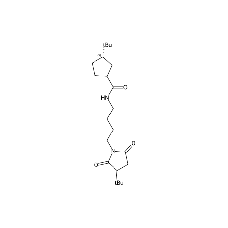 CC(C)(C)C1CC(=O)N(CCCCNC(=O)C2CC[C@H](C(C)(C)C)C2)C1=O